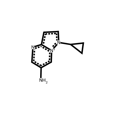 Nc1cnc2ccn(C3CC3)[n+]2c1